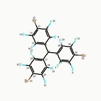 Fc1c(F)c(C(c2c(F)c(F)c(Br)c(F)c2F)c2c(F)c(F)c(Br)c(F)c2F)c(F)c(F)c1Br